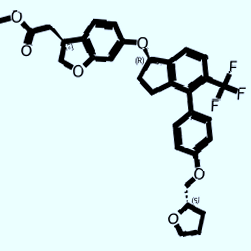 COC(=O)C[C@@H]1COc2cc(O[C@@H]3CCc4c3ccc(C(F)(F)F)c4-c3ccc(OC[C@@H]4CCCO4)cc3)ccc21